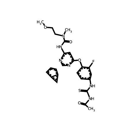 COCCN(C)C(=O)Nc1cc(Oc2ccc(NC(=S)NC(C)=O)cc2F)ncn1.c1cc2cc-2c1